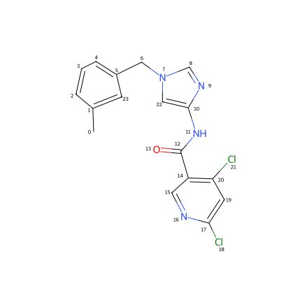 Cc1cccc(Cn2cnc(NC(=O)c3cnc(Cl)cc3Cl)c2)c1